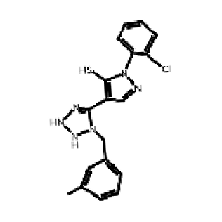 Cc1cccc(CN2NNN=C2c2cnn(-c3ccccc3Cl)c2S)c1